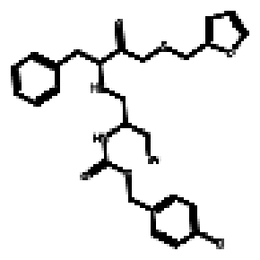 CC(C)CC(CNC(Cc1ccccc1)C(=O)CSCc1ccco1)NC(=O)OCc1ccc(Cl)cc1